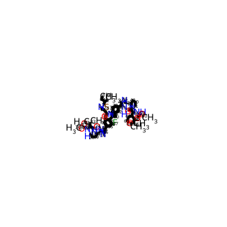 CCC(CC)c1ncc(C2Oc3cc(-c4cnc([C@@H]5CCCN5C(=O)[C@@H](NC(=O)OC)C(C)C)[nH]4)cc(F)c3-c3cc4cc(-c5cnc([C@@H]6CCCN6C(=O)C(NC(=O)OC)C6CCOC(C)(C)C6)[nH]5)ccc4n32)s1